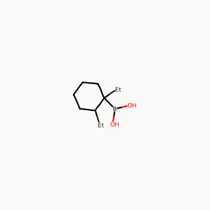 CCC1CCCCC1(CC)B(O)O